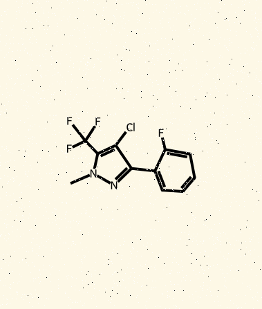 Cn1nc(-c2ccccc2F)c(Cl)c1C(F)(F)F